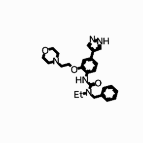 CCN(Cc1ccccc1)C(=O)Nc1ccc(-c2cn[nH]c2)cc1OCCN1CCOCC1